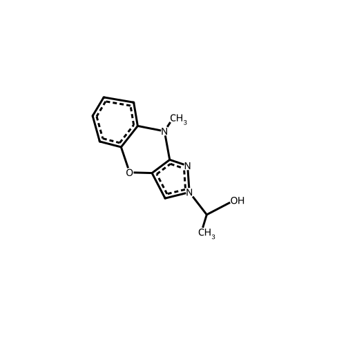 CC(O)n1cc2c(n1)N(C)c1ccccc1O2